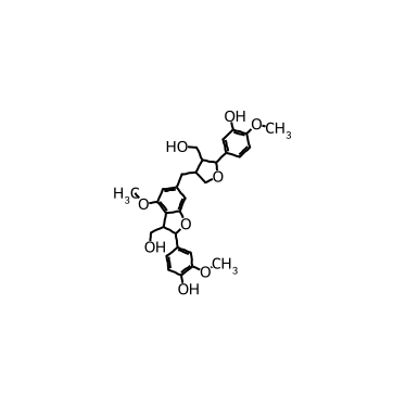 COc1ccc(C2OCC(Cc3cc(OC)c4c(c3)OC(c3ccc(O)c(OC)c3)C4CO)C2CO)cc1O